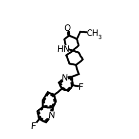 CCC1CC2(CCC(Cc3ncc(-c4ccc5cc(F)cnc5c4)cc3F)CC2)NCC1=O